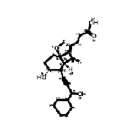 CO[C@]12CC[C@@H](O)[C@H](C#CC(O)C3CCCCC3)[C@H]1C(C)C2=CCCC(=O)O